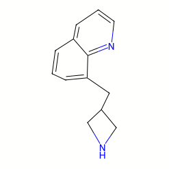 c1cnc2c(CC3CNC3)cccc2c1